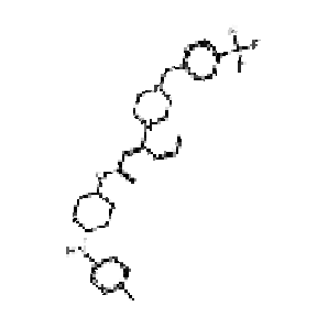 C=C(/C=C(\C=C/C)N1CCN(Cc2ccc(C(F)(F)F)cc2)CC1)O[C@H]1CC[C@H](Nc2ccc(C)cc2)CC1